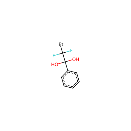 CCC(F)(F)C(O)(O)c1ccccc1